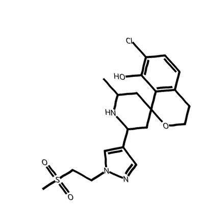 CC1CC2(CC(c3cnn(CCS(C)(=O)=O)c3)N1)OCCc1ccc(Cl)c(O)c12